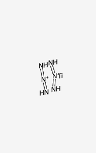 N=[N+]=N.N=[N+]=N.[Ti]